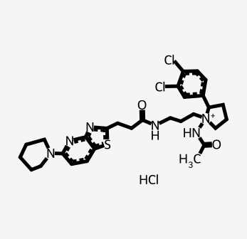 CC(=O)N[N+]1(CCCNC(=O)CCc2nc3nc(N4CCCCC4)ccc3s2)CCCC1c1ccc(Cl)c(Cl)c1.Cl